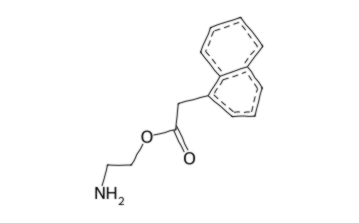 NCCOC(=O)Cc1cccc2ccccc12